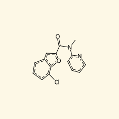 CN(C(=O)c1cc2cccc(Cl)c2o1)c1ccccn1